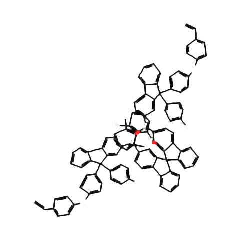 C=Cc1ccc(Oc2ccc(C3(c4ccc(F)cc4)c4ccccc4-c4ccc(N(c5ccc6c(c5)C5(c7ccccc7-6)c6ccccc6-c6ccc(N(c7ccc8c(c7)C(c7ccc(F)cc7)(c7ccc(Oc9ccc(C=C)cc9)cc7)c7ccccc7-8)c7c(F)cccc7F)cc65)c5c(F)cccc5F)cc43)cc2)cc1